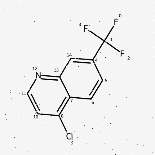 FC(F)(F)c1ccc2c(Cl)[c]cnc2c1